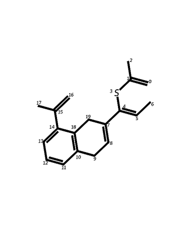 C=C(C)S/C(=C\C)C1=CCc2cccc(C(=C)C)c2C1